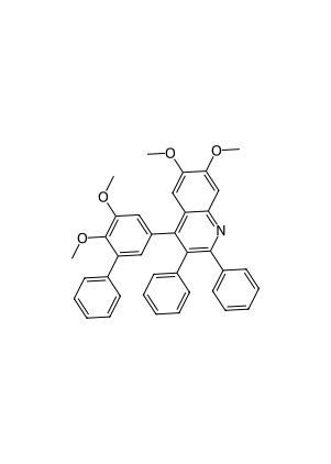 COc1cc2nc(-c3ccccc3)c(-c3ccccc3)c(-c3cc(OC)c(OC)c(-c4ccccc4)c3)c2cc1OC